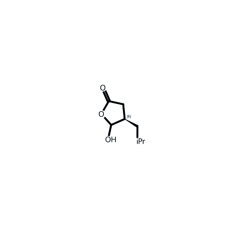 CC(C)C[C@@H]1CC(=O)OC1O